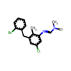 CCN(C)C=Nc1cc(Cl)cc(Cc2ccccc2Br)c1C